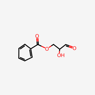 O=CC(O)COC(=O)c1ccccc1